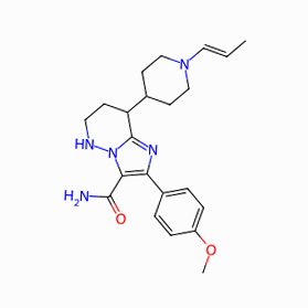 CC=CN1CCC(C2CCNn3c2nc(-c2ccc(OC)cc2)c3C(N)=O)CC1